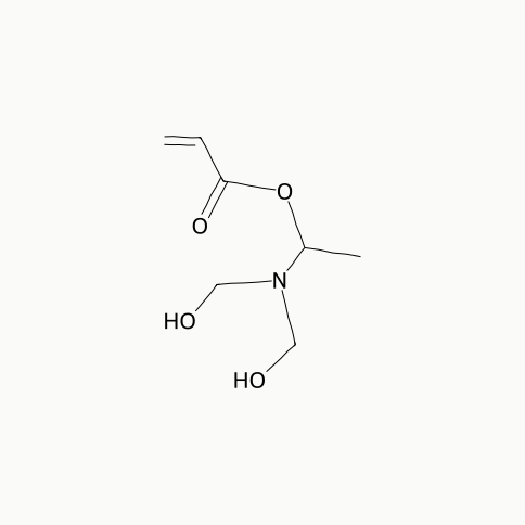 C=CC(=O)OC(C)N(CO)CO